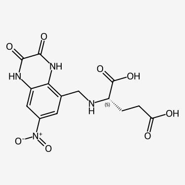 O=C(O)CC[C@H](NCc1cc([N+](=O)[O-])cc2[nH]c(=O)c(=O)[nH]c12)C(=O)O